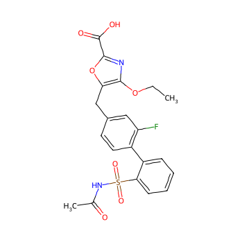 CCOc1nc(C(=O)O)oc1Cc1ccc(-c2ccccc2S(=O)(=O)NC(C)=O)c(F)c1